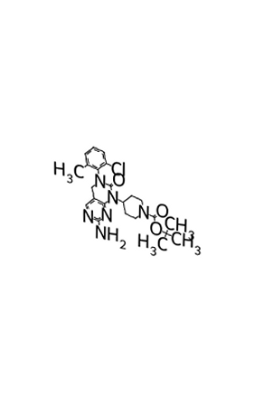 Cc1cccc(Cl)c1N1Cc2cnc(N)nc2N(C2CCN(C(=O)OC(C)(C)C)CC2)C1=O